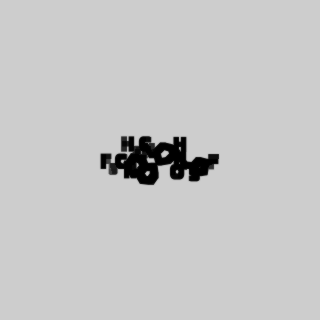 CN(c1cc(C(F)(F)F)nc2ccccc12)[C@H]1CC[C@@H](NC(=O)c2cc(F)cs2)CC1